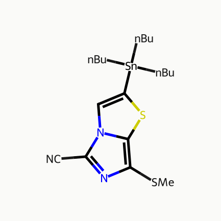 CCC[CH2][Sn]([CH2]CCC)([CH2]CCC)[c]1cn2c(C#N)nc(SC)c2s1